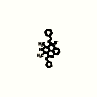 CC1=C(C(=O)OCc2ccccc2)C(c2ccccc2[N+](=O)[O-])C(C(=O)OC2CCCC2)=C(C)N1